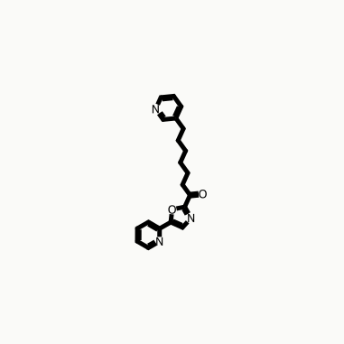 O=C(CCCCCCc1cccnc1)c1ncc(-c2ccccn2)o1